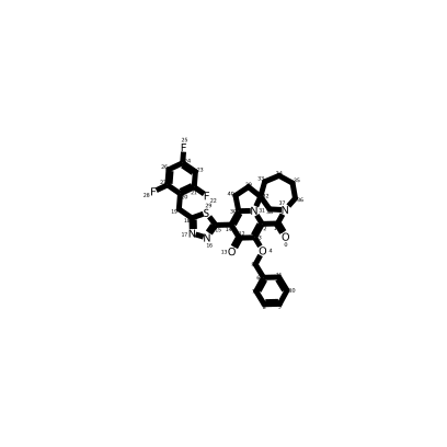 O=C1c2c(OCc3ccccc3)c(=O)c(-c3nnc(Cc4c(F)cc(F)cc4F)s3)c3n2C2(CCCCN1C2)CC3